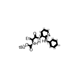 CCC(NC(=O)OC(C)(C)C)C(=O)Nc1cccnc1Nc1ccccc1